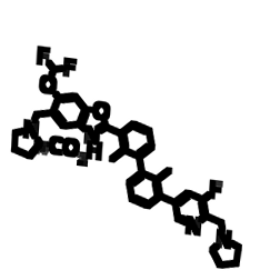 Cc1c(-c2cnc(CN3CCCC3)c(F)c2)cccc1-c1cccc(-c2nc3cc(CN4CCC[C@H]4C(=O)O)c(OC(F)F)cc3o2)c1C